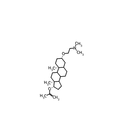 C=C(C)O[C@H]1CCC2C3CCC4C[C@@H](OCCN(C)C)CC[C@]4(C)C3CC[C@@]21C